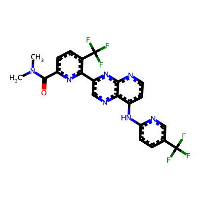 CN(C)C(=O)c1ccc(C(F)(F)F)c(-c2cnc3c(Nc4ccc(C(F)(F)F)cn4)ccnc3n2)n1